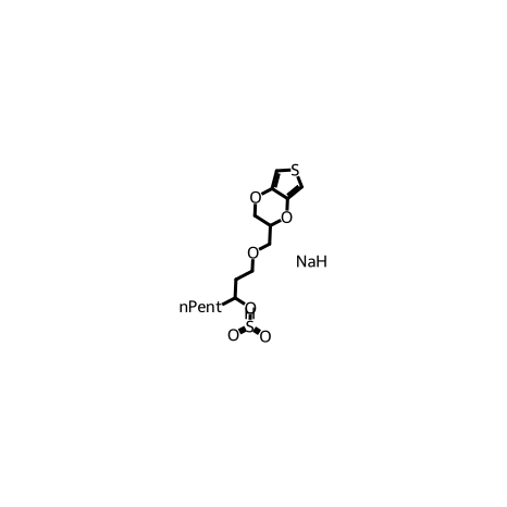 CCCCCC(CCOCC1COc2cscc2O1)O[SH](=O)=O.[NaH]